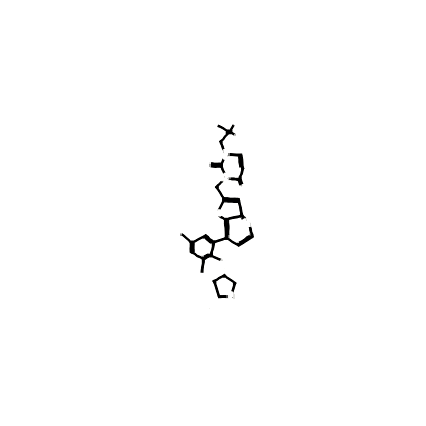 Cc1cc(Cl)cc(-c2ccnc3cc(Cn4c(=O)ccn(CC(F)(F)F)c4=O)sc23)c1O[C@@H]1CN[C@H](C)C1